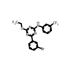 FC(F)(F)COc1nc(Nc2cccc(C(F)(F)F)c2)nc(-c2cccc(Br)c2)n1